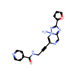 N[N+]12C=C(C#CCNC(=O)c3ccncc3)N=CC1=NC(c1ccco1)=N2